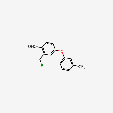 O=Cc1ccc(Oc2cccc(C(F)(F)F)c2)cc1CF